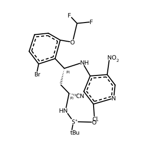 CC(C)(C)[S+]([O-])N[C@@H](C#N)C[C@@H](Nc1cc(Cl)ncc1[N+](=O)[O-])c1c(Br)cccc1OC(F)F